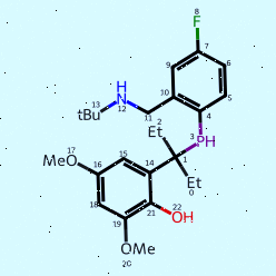 CCC(CC)(Pc1ccc(F)cc1CNC(C)(C)C)c1cc(OC)cc(OC)c1O